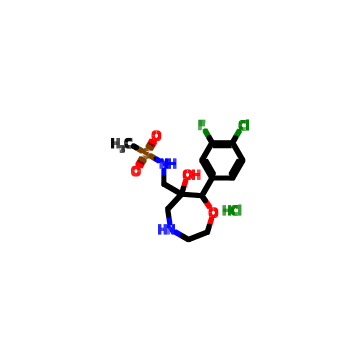 CS(=O)(=O)NCC1(O)CNCCOC1c1ccc(Cl)c(F)c1.Cl